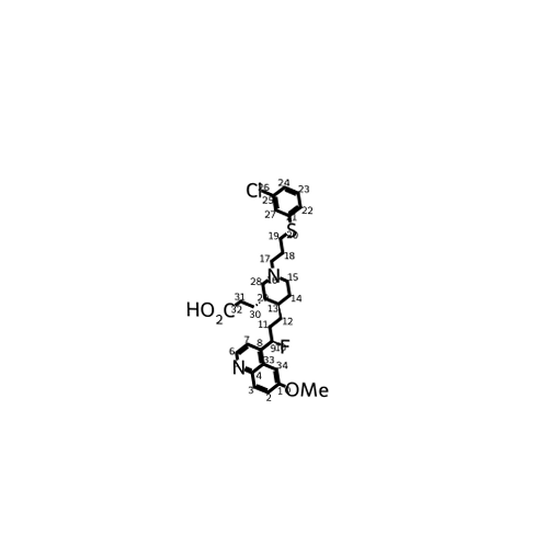 COc1ccc2nccc([C@H](F)CC[C@@H]3CCN(CCCSc4cccc(Cl)c4)C[C@H]3CCC(=O)O)c2c1